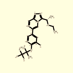 CCO[C@@H](C)c1nnc2cnc(-c3cnc(OC(C)(C)C(F)(F)F)c(F)c3)cn12